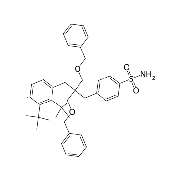 CC(C)(C)c1[c]ccc(CC(COCc2ccccc2)(COCc2ccccc2)Cc2ccc(S(N)(=O)=O)cc2)c1C(C)(C)C